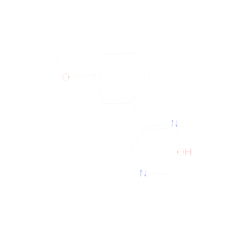 COc1cccc(C(CN(C)C)=NO)c1